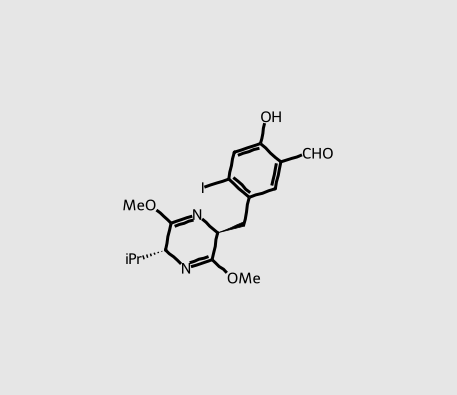 COC1=N[C@H](C(C)C)C(OC)=N[C@H]1Cc1cc(C=O)c(O)cc1I